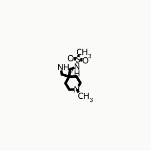 CN1CCC(CN)(CNS(C)(=O)=O)CC1